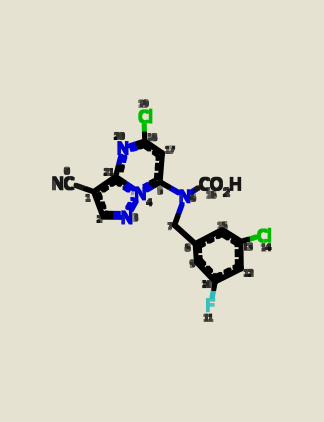 N#Cc1cnn2c(N(Cc3cc(F)cc(Cl)c3)C(=O)O)cc(Cl)nc12